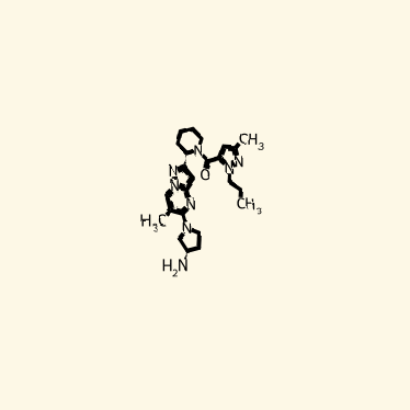 CCCn1nc(C)cc1C(=O)N1CCCC[C@H]1c1cc2nc(N3CC[C@H](N)C3)c(C)cn2n1